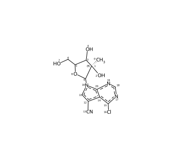 C[C@@]1(O)C(O)C(CO)OC1n1cc(C#N)c2c(Cl)ncnc21